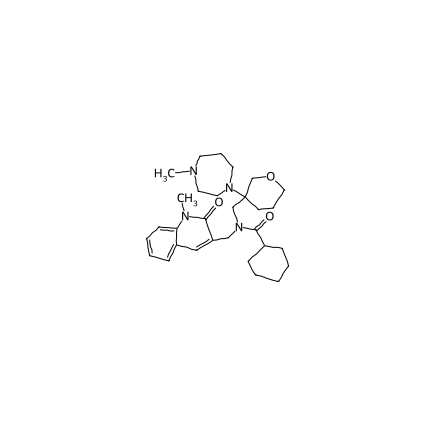 CN1CCCN(C2(CN(Cc3cc4ccccc4n(C)c3=O)C(=O)C3CCCCC3)CCCOC2)CC1